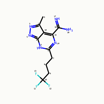 Cc1nnc2[nH]c(CCCC(F)(F)F)nc(C(=N)N)c1-2